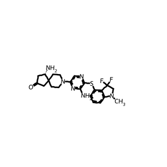 CN1CC(F)(F)c2c(Sc3ncc(N4CCC5(CC4)CC(=O)C[C@@H]5N)nc3N)cccc21